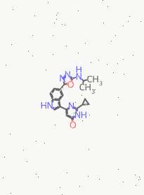 CC(C)Nc1nnc(-c2ccc3[nH]cc(-c4cc(=O)[nH]c(C5CC5)n4)c3c2)o1